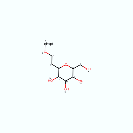 CCCCCCCOCCC1OC(CO)C(O)C(O)C1O